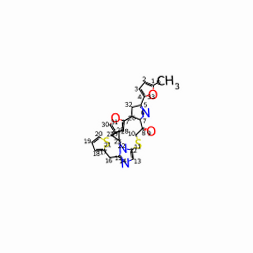 Cc1ccc(C2=NC(C(=O)CSc3cnc(Cc4cccs4)n3C3CC3)C(c3ccco3)C2)o1